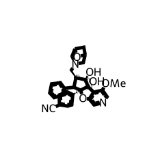 COc1cncc2c1[C@]1(O)[C@H](O)[C@H](CN3CC4CC(C3)O4)C(c3ccccc3)[C@]1(c1ccc(C#N)cc1)O2